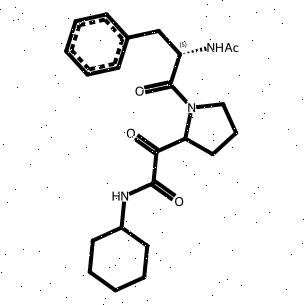 CC(=O)N[C@@H](Cc1ccccc1)C(=O)N1CCCC1C(=O)C(=O)NC1CCCCC1